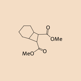 COC(=O)C1C2CCCCC2C1C(=O)OC